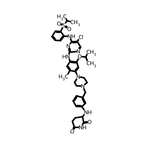 Cc1cc(Nc2ncc(Cl)c(Nc3ccccc3S(=O)(=O)C(C)C)n2)c(OC(C)C)cc1N1CCN(Cc2cccc(NC3CCC(=O)NC3=O)c2)CC1